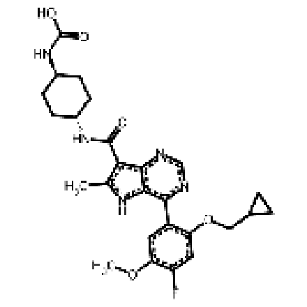 COc1cc(-c2ncnc3c(C(=O)N[C@H]4CC[C@H](NC(=O)O)CC4)c(C)[nH]c23)c(OCC2CC2)cc1F